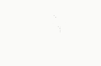 C1=CC2NC(c3ccc4ccccc4c3)NC2C=C1